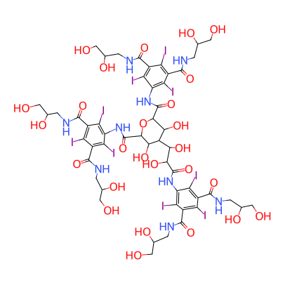 O=C(NCC(O)CO)c1c(I)c(NC(=O)C(O)C(O)C2C(O)C(C(=O)Nc3c(I)c(C(=O)NCC(O)CO)c(I)c(C(=O)NCC(O)CO)c3I)OC(C(=O)Nc3c(I)c(C(=O)NCC(O)CO)c(I)c(C(=O)NCC(O)CO)c3I)C2O)c(I)c(C(=O)NCC(O)CO)c1I